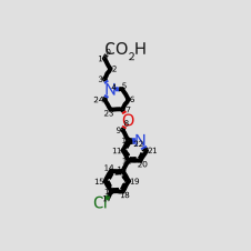 O=C(O)CCCN1CCC(OCc2cc(-c3ccc(Cl)cc3)ccn2)CC1